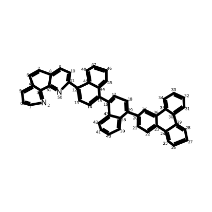 c1cnc2c(c1)ccc1ccc(-c3ccc(-c4ccc(-c5ccc6c7ccccc7c7ccccc7c6c5)c5ccccc45)c4ccccc34)nc12